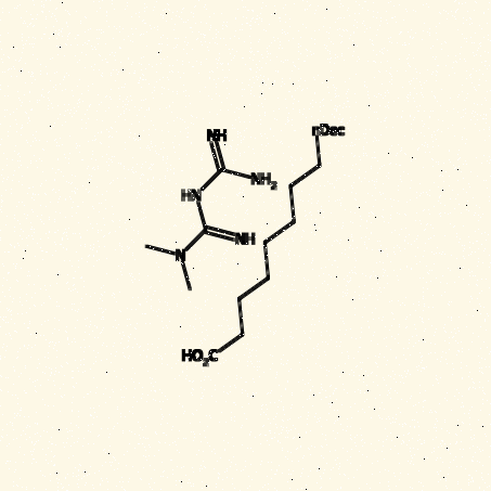 CCCCCCCCCCCCCCCCCC(=O)O.CN(C)C(=N)NC(=N)N